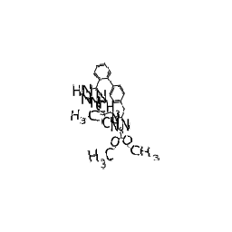 CCOC(OCC)c1nc(Cc2ccc(-c3ccccc3-c3nnn[nH]3)cc2)n(CC(C)(C)C)n1